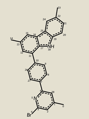 Cc1cc(Br)nc(-c2ccc(-c3cc(C)cc4c3[nH]c3ccc(C)cc34)cc2)c1